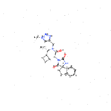 C[C@@H](C1CCC1)N(Cc1cn(C)nn1)C(=O)CN1C(=O)NC2(CCc3ccccc32)C1=O